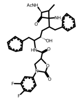 CC(=O)N[C@@H]1C(=O)C(N)(C(Cc2ccccc2)C[C@H](O)C(Cc2ccccc2)NC(=O)C2CN(c3ccc(F)c(F)c3)C(=O)O2)C1C